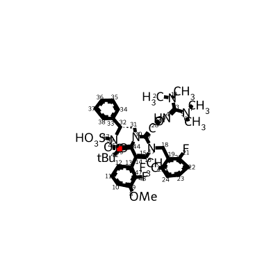 CN(C)C(=N)N(C)C.COc1cccc(C2=C(C)N(Cc3c(F)cccc3C(F)(F)F)C(=C=O)N(C[C@@H](c3ccccc3)N(C(=O)C(C)(C)C)S(=O)(=O)O)C2=C=O)c1F